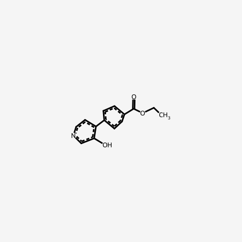 CCOC(=O)c1ccc(-c2ccncc2O)cc1